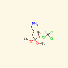 CCO[Si](CCCN)(OCC)OCC.C[Si](Cl)(Cl)Cl